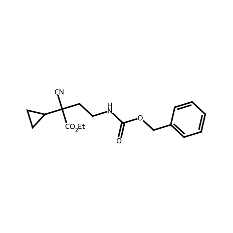 CCOC(=O)C(C#N)(CCNC(=O)OCc1ccccc1)C1CC1